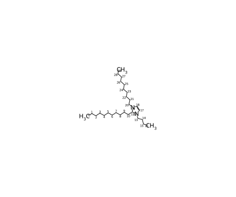 CCCCCCCCCCCC1N(CCCC)C=CN1CCCCCCCCCC